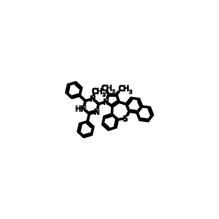 Cc1c2c(n(C3N=C(c4ccccc4)NC(c4ccccc4)N3C)c1C)-c1ccccc1Sc1c-2ccc2ccccc12